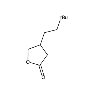 CC(C)(C)CCC1COC(=O)C1